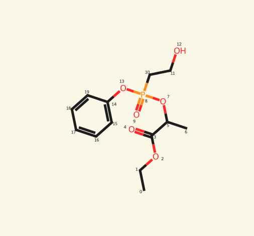 CCOC(=O)C(C)OP(=O)(CCO)Oc1ccccc1